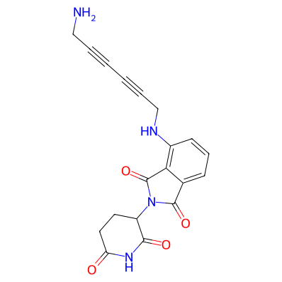 NCC#CC#CCNc1cccc2c1C(=O)N(C1CCC(=O)NC1=O)C2=O